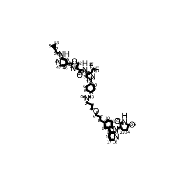 CN(CCCOCCCc1ccc2c(c1)c1cccnc1n2C1CCC(=O)NC1=O)C[C@H]1CC[C@H](n2cc(NC(=O)c3coc(-c4ccnc(NCC5CC5)c4)n3)c(C(F)F)n2)CC1